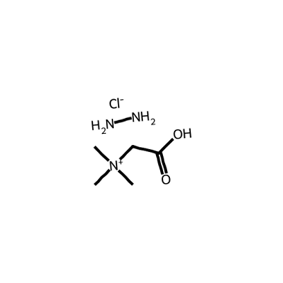 C[N+](C)(C)CC(=O)O.NN.[Cl-]